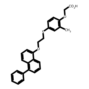 Cc1cc(SCCOc2cccc3c(-c4ccccc4)cccc23)ccc1OCC(=O)O